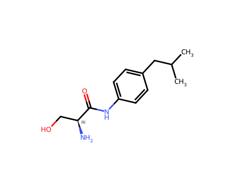 CC(C)Cc1ccc(NC(=O)[C@@H](N)CO)cc1